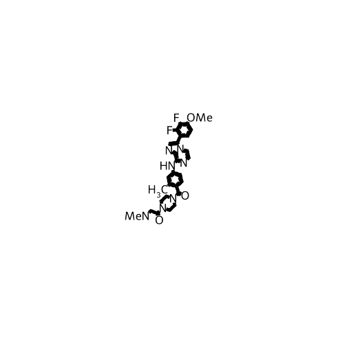 CNCC(=O)N1CCN(C(=O)c2ccc(Nc3nccn4c(-c5ccc(OC)c(F)c5F)cnc34)cc2C)CC1